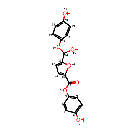 O=C(Oc1ccc(O)cc1)c1ccc(C(O)Oc2ccc(O)cc2)o1